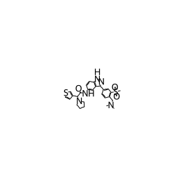 CN(C)Cc1ccc(-c2n[nH]c3ccc(NC(=O)C(c4ccsc4)N4CCCC4)cc23)cc1S(C)(=O)=O